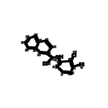 CCc1ncnc(NC(CC)c2ccc3ccccc3c2)c1Cl